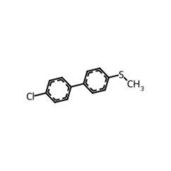 CSc1ccc(-c2ccc(Cl)cc2)cc1